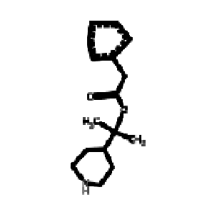 CC(C)(OC(=O)Cc1ccccc1)C1CCNCC1